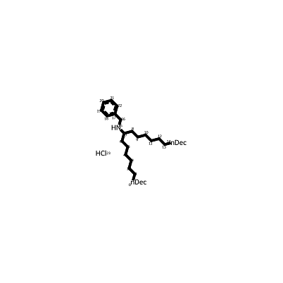 CCCCCCCCCCCCCCCCC(CCCCCCCCCCCCCCCC)NCc1ccccc1.Cl